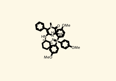 C=C(N[C@@H]1CCCC[C@H]1N=P(c1ccc(OC)cc1)(c1ccc(OC)cc1)c1ccc(OC)cc1)N[C@@H](C(=O)N(C)Cc1ccccc1)C(C)(C)C